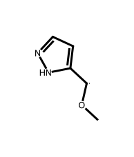 CO[CH]c1ccn[nH]1